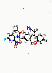 C/C(C#N)=C1/c2ccc(CN(C(=O)C3CCC3)c3ccc(F)nc3[N+](=O)[O-])cc2COc2cc(F)ccc21